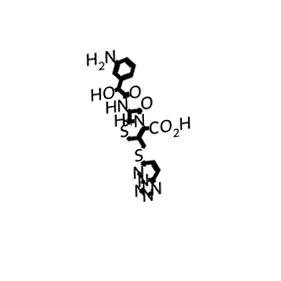 Nc1cccc(C(O)C(=O)NC2C(=O)N3C(C(=O)O)=C(CSc4ccc5nnnn5n4)CS[C@@H]23)c1